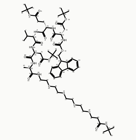 CC(C)[C@H](NC(=O)[C@H](CCC(=O)OC(C)(C)C)NC(=O)[C@H](CC(=O)OC(C)(C)C)NC(=O)OCC1c2ccccc2-c2ccccc21)C(=O)N[C@@H](CC(=O)OC(C)(C)C)C(=O)N[C@H](C)C(=O)NCCOCCOCCOCCOCCC(=O)OC(C)(C)C